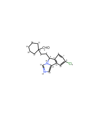 O=CC1(CCC2c3ccc(Cl)cc3-c3cncn32)CCCCC1